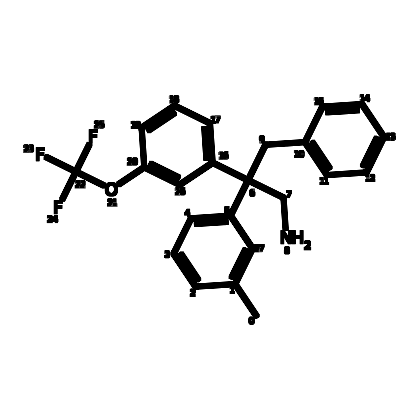 Cc1cccc(C(CN)(Cc2ccccc2)c2cccc(OC(F)(F)F)c2)c1